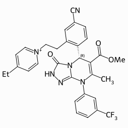 CCc1cc[n+](CCc2cc(C#N)ccc2[C@@H]2C(C(=O)OC)=C(C)N(c3cccc(C(F)(F)F)c3)c3n[nH]c(=O)n32)cc1